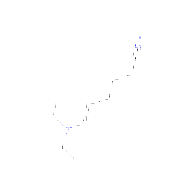 CCN(C=CCCCC#N)CC